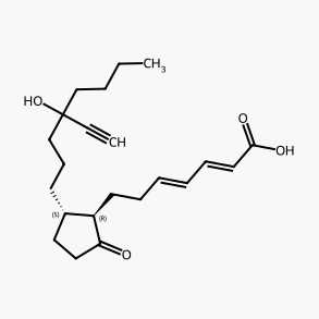 C#CC(O)(CCCC)CCC[C@H]1CCC(=O)[C@@H]1CCC=CC=CC(=O)O